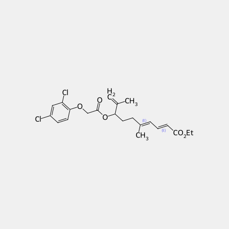 C=C(C)C(CC/C(C)=C/C=C/C(=O)OCC)OC(=O)COc1ccc(Cl)cc1Cl